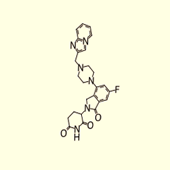 O=C1CCC(N2Cc3c(cc(F)cc3N3CCN(Cc4cn5ccccc5n4)CC3)C2=O)C(=O)N1